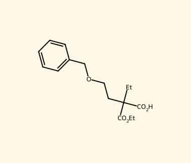 CCOC(=O)C(CC)(CCOCc1ccccc1)C(=O)O